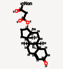 CCCCCCCCCC(=O)CC(=O)O[C@H]1CC[C@H]2[C@@H]3CCC4=CC(=O)CC[C@]4(C)[C@H]3CC[C@]12C